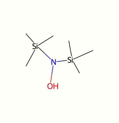 C[Si](C)(C)N(O)[Si](C)(C)C